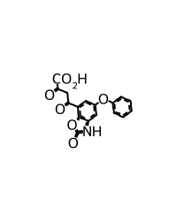 O=C(O)C(=O)CC(=O)c1cc(Oc2ccccc2)cc2[nH]c(=O)oc12